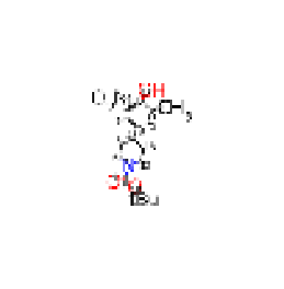 Cc1cc(C2CCN(C(=O)OC(C)(C)C)CC2)cc([N+](=O)[O-])c1O